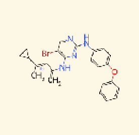 C=C(/C=C(\C)C1CC1)Nc1nc(Nc2ccc(Oc3ccccc3)cc2)ncc1Br